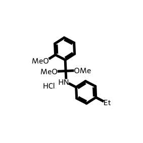 CCc1ccc(NC(OC)(OC)c2ccccc2OC)cc1.Cl